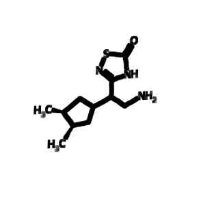 C[C@@H]1CC(C(CN)c2nsc(=O)[nH]2)C[C@@H]1C